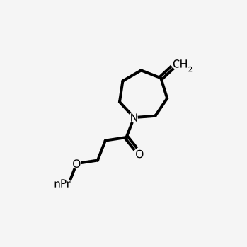 C=C1CCCN(C(=O)CCOCCC)CC1